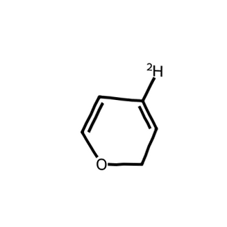 [2H]C1=CCOC=C1